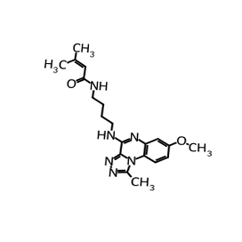 COc1ccc2c(c1)nc(NCCCCNC(=O)C=C(C)C)c1nnc(C)n12